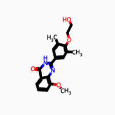 COc1cccc2c(=O)[nH]c(-c3cc(C)c(OCCO)c(C)c3)nc12